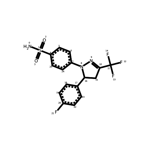 NS(=O)(=O)c1ccc(N2N=C(C(F)(F)F)CC2c2ccc(F)cc2)cc1